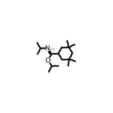 CC(C)/N=C(\OC(C)C)C1CC(C)(C)CC(C)(C)C1